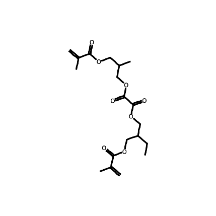 C=C(C)C(=O)OCC(C)COC(=O)C(=O)OCC(CC)COC(=O)C(=C)C